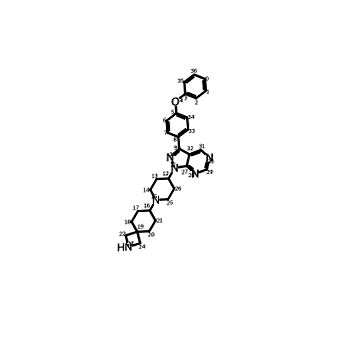 c1ccc(Oc2ccc(-c3nn(C4CCN(C5CCC6(CC5)CNC6)CC4)c4ncncc34)cc2)cc1